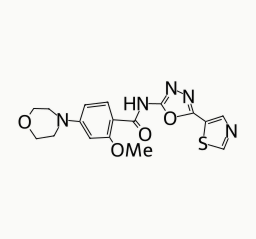 COc1cc(N2CCOCC2)ccc1C(=O)Nc1nnc(-c2cncs2)o1